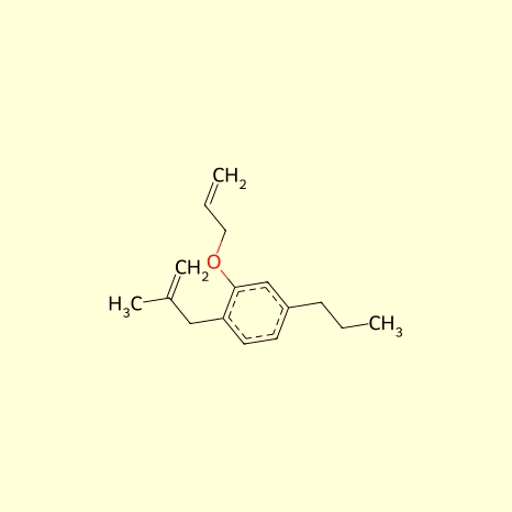 C=CCOc1cc(CCC)ccc1CC(=C)C